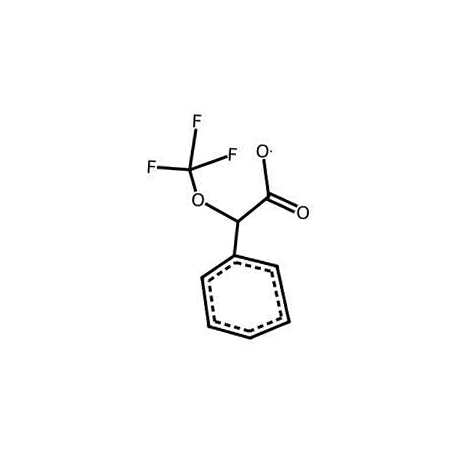 [O]C(=O)C(OC(F)(F)F)c1ccccc1